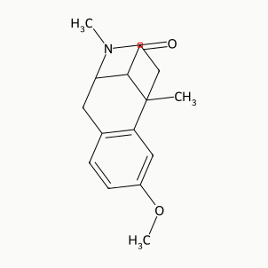 COc1ccc2c(c1)C1(C)CCN(C)C(C2)C1C=O